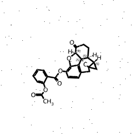 CC(=O)Oc1ccccc1C(=O)Oc1ccc2c3c1O[C@H]1C(=O)CC[C@H]4[C@@H]5CC5(C2)C[C@]314